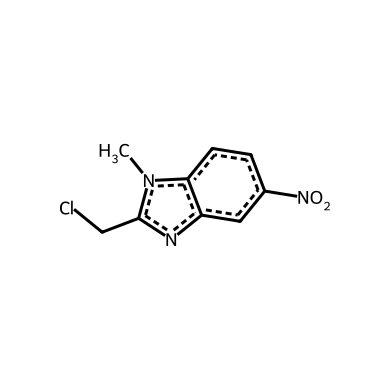 Cn1c(CCl)nc2cc([N+](=O)[O-])ccc21